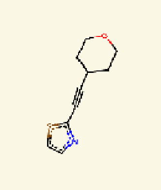 C(#CC1CCOCC1)c1nccs1